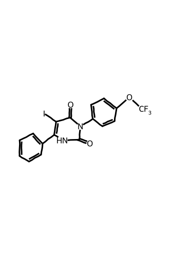 O=c1[nH]c(-c2ccccc2)c(I)c(=O)n1-c1ccc(OC(F)(F)F)cc1